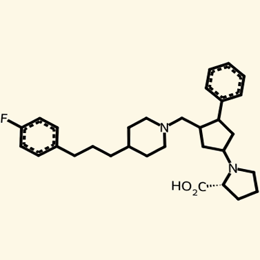 O=C(O)[C@H]1CCCN1C1CC(CN2CCC(CCCc3ccc(F)cc3)CC2)C(c2ccccc2)C1